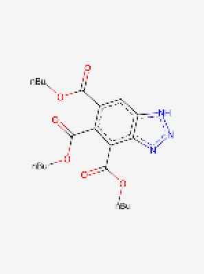 CCCCOC(=O)c1cc2[nH]nnc2c(C(=O)OCCCC)c1C(=O)OCCCC